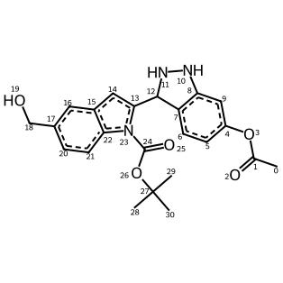 CC(=O)Oc1ccc2c(c1)NNC2c1cc2cc(CO)ccc2n1C(=O)OC(C)(C)C